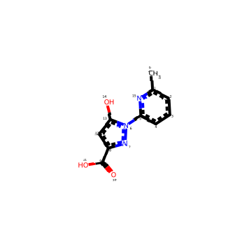 Cc1cccc(-n2nc(C(=O)O)cc2O)n1